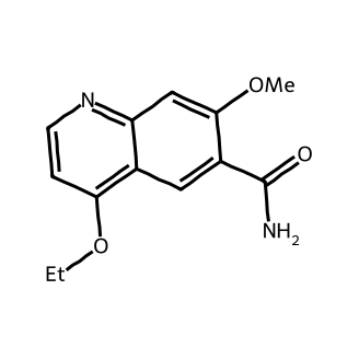 CCOc1ccnc2cc(OC)c(C(N)=O)cc12